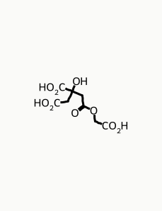 O=C(O)COC(=O)CC(O)(CC(=O)O)C(=O)O